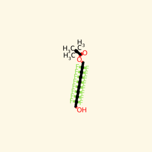 CC(C)(C)C(=O)OCC(F)(F)C(F)(F)C(F)(F)C(F)(F)C(F)(F)C(F)(F)C(F)(F)C(F)(F)CO